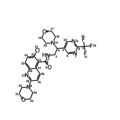 O=C(NCC(c1cnc(C(F)(F)F)nc1)N1CCOCC1)c1c(Cl)ccc2nc(N3CCOCC3)ccc12